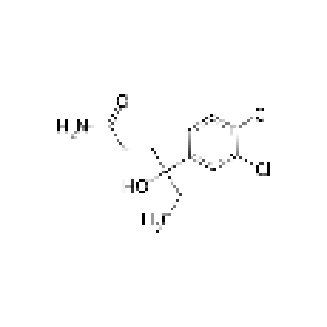 CCC(O)(CCC(N)=O)c1ccc(Cl)c(Cl)c1